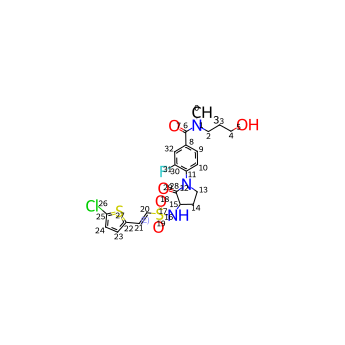 CN(CCCO)C(=O)c1ccc(N2CCC(NS(=O)(=O)/C=C/c3ccc(Cl)s3)C2=O)c(F)c1